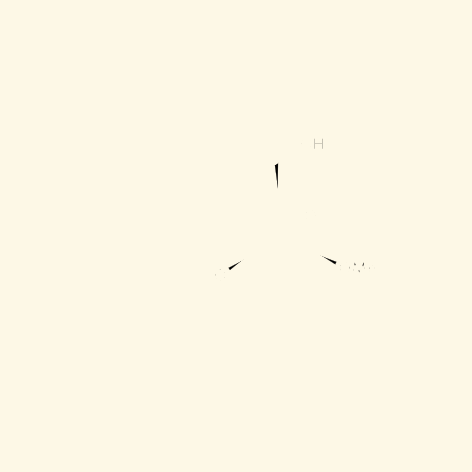 CO[C@H]1C[C@@H](OCc2ccccc2)C[C@@H](CO)O1